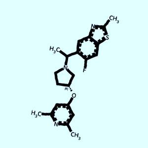 Cc1cc(O[C@@H]2CCN(C(C)c3cc4nc(C)sc4cc3F)C2)cc(C)n1